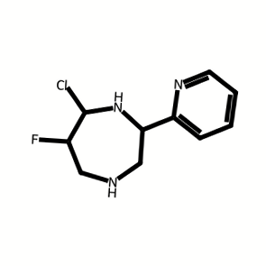 FC1CNCC(c2ccccn2)NC1Cl